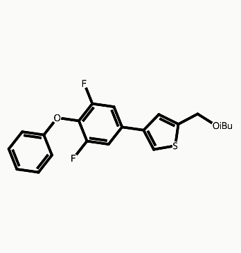 CC(C)COCc1cc(-c2cc(F)c(Oc3ccccc3)c(F)c2)cs1